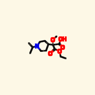 CCOC(=O)C(OC)(C(=O)O)C1CCN(C(C)C)CC1